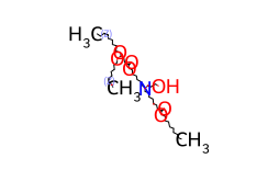 CC/C=C\CCCCCOC(CCC(=O)OCCCCCCN(CCCO)CCCCCCCC(=O)OCCCCCCCCC)OCCCCC/C=C\CC